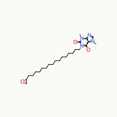 Cn1cnc2c1c(=O)n(CCCCCCCCCCCCCCCCC1CO1)c(=O)n2C